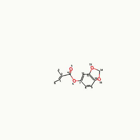 CC=C(C)C(=O)Oc1ccc2c(c1)OCO2